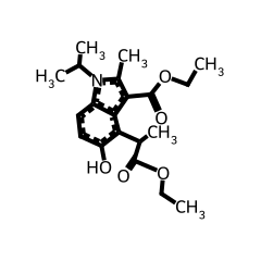 CCOC(=O)c1c(C)n(C(C)C)c2ccc(O)c(C(C)C(=O)OCC)c12